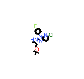 C=C(CCOC(C)(C)C)Nc1nc2ccc(Cl)nc2n1-c1ccc(F)cc1